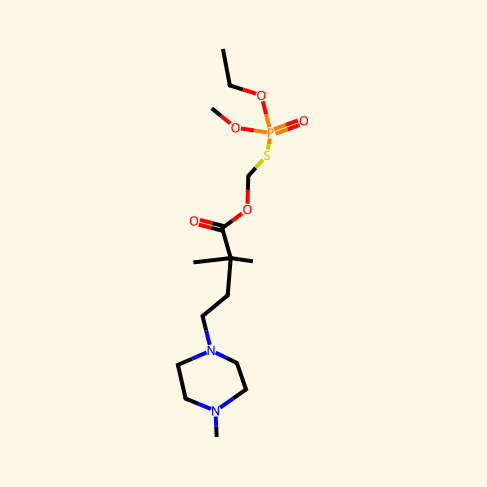 CCOP(=O)(OC)SCOC(=O)C(C)(C)CCN1CCN(C)CC1